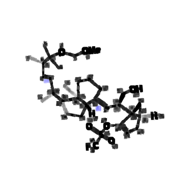 COCOC(C)(C)[C@@H](C)/C=C/[C@@H](C)[C@H]1CC[C@H]2/C(=C/[C@@H](CO)[C@]34C[C@H]3CC=C4OS(=O)(=O)C(F)(F)F)CCC[C@]12C